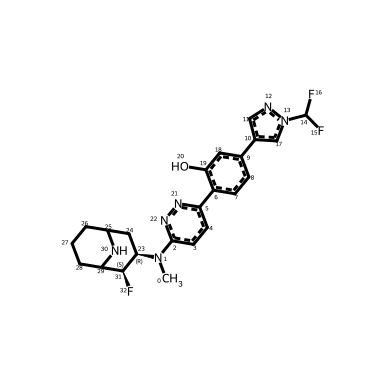 CN(c1ccc(-c2ccc(-c3cnn(C(F)F)c3)cc2O)nn1)[C@@H]1CC2CCCC(N2)[C@@H]1F